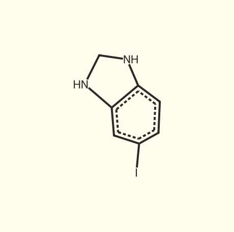 Ic1ccc2c(c1)NCN2